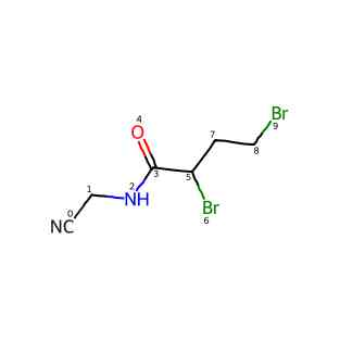 N#CCNC(=O)C(Br)CCBr